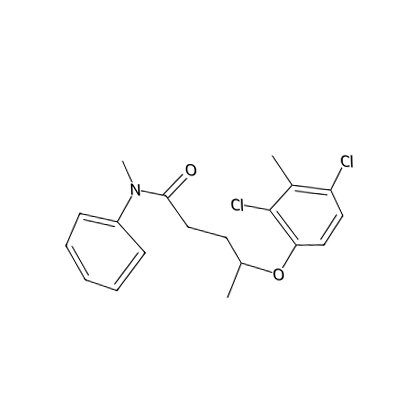 Cc1c(Cl)ccc(OC(C)CCC(=O)N(C)c2ccccc2)c1Cl